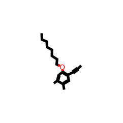 CC#Cc1cc(C)c(C)cc1OCCCCCCCC